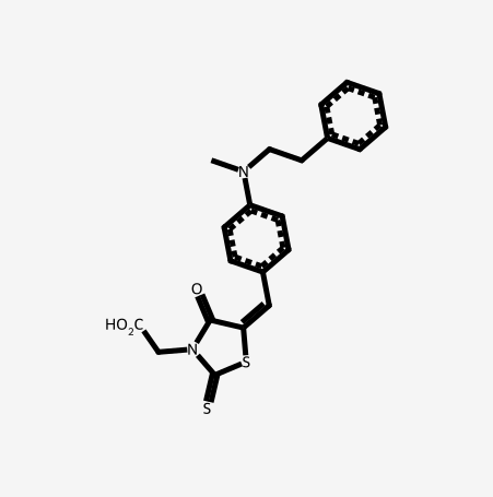 CN(CCc1ccccc1)c1ccc(C=C2SC(=S)N(CC(=O)O)C2=O)cc1